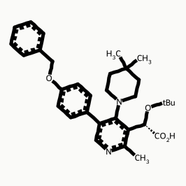 Cc1ncc(-c2ccc(OCc3ccccc3)cc2)c(N2CCC(C)(C)CC2)c1[C@H](OC(C)(C)C)C(=O)O